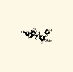 COc1c(Cl)cc(NC(=O)N2C[C@@](C)(C(F)(F)F)c3c2cnc2cc(Cl)nn32)nc1O[C@H]1CCNC1